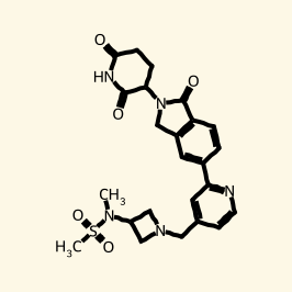 CN(C1CN(Cc2ccnc(-c3ccc4c(c3)CN(C3CCC(=O)NC3=O)C4=O)c2)C1)S(C)(=O)=O